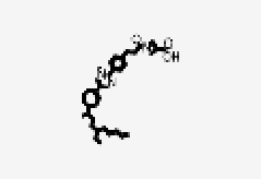 C=N/C=C(\C=N/Cc1ccc(CCC(=O)N2CC(C(=O)O)C2)cc1)C1=CCC(C(C)CCC(CC)CCCCC)CCC1